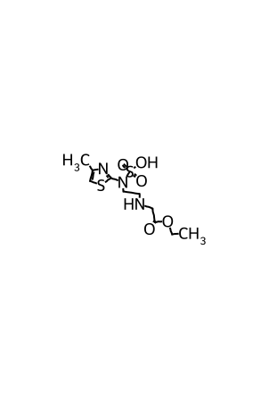 CCOC(=O)CNCCN(c1nc(C)cs1)S(=O)(=O)O